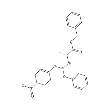 C[C@@H](NP(OC1=CC[C@@H]([N+](=O)[O-])CC1)Oc1ccccc1)C(=O)OCc1ccccc1